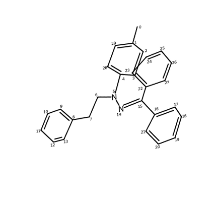 Cc1ccc(N(CCc2ccccc2)N=C(c2ccccc2)c2ccccc2)cc1